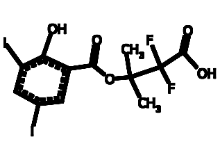 CC(C)(OC(=O)c1cc(I)cc(I)c1O)C(F)(F)C(=O)O